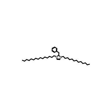 CCCCCCCCCCCCCCCN1C=CN(CCCCCCCCCCCCC)C1Cc1ccccc1